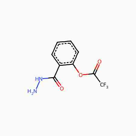 NNC(=O)c1ccccc1OC(=O)C(F)(F)F